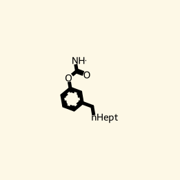 CCCCCCCCc1cccc(OC([NH])=O)c1